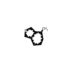 Cc1cccc2[c]s[c]c12